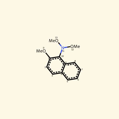 COc1ccc2ccccc2c1N(OC)OC